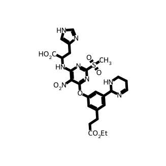 CCOC(=O)CCc1cc(Oc2nc(S(C)(=O)=O)nc(NC(Cc3c[nH]cn3)C(=O)O)c2[N+](=O)[O-])cc(C2N=CCCN2)c1